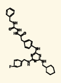 O=C(Cc1ccc(Nc2nc(NCc3ccc(F)cc3)nc(NCC3CCCCC3)n2)cc1)NNC(=O)NCc1ccccc1